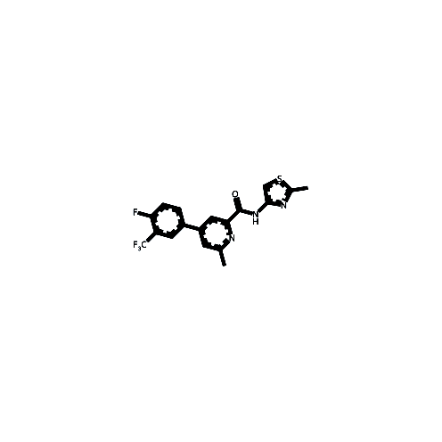 Cc1cc(-c2ccc(F)c(C(F)(F)F)c2)cc(C(=O)Nc2csc(C)n2)n1